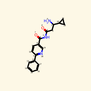 NC(CC(=O)NC(=O)c1ccc(-c2ccccc2)nc1)C1CC1